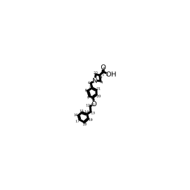 O=C(O)C1CN(Cc2ccc(OCCc3ccccc3)cc2)C1